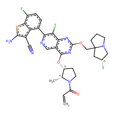 C=CC(=O)N1CC[C@@H](Oc2nc(OCC34CCCN3C[C@H](F)C4)nc3c(F)c(-c4ccc(F)c5sc(N)c(C#N)c45)ncc23)[C@H]1C